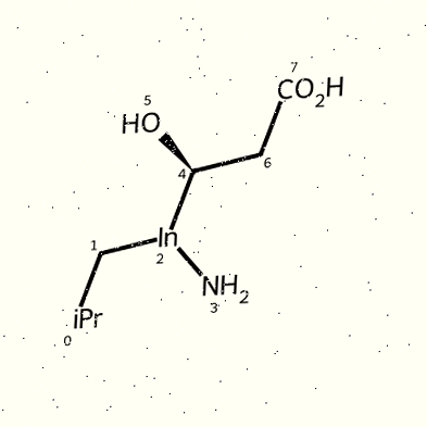 CC(C)[CH2][In]([NH2])[C@@H](O)CC(=O)O